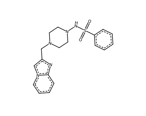 O=S(=O)(NN1CCN(Cc2cn3ccccc3n2)CC1)c1ccccc1